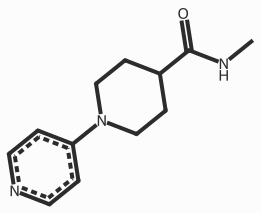 CNC(=O)C1CCN(c2ccncc2)CC1